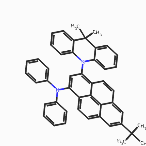 CC(C)(C)c1cc2ccc3c(N(c4ccccc4)c4ccccc4)cc(N4c5ccccc5C(C)(C)c5ccccc54)c4ccc(c1)c2c34